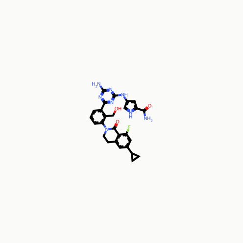 NC(=O)c1cc(Nc2nc(N)nc(-c3cccc(N4CCc5cc(C6CC6)cc(F)c5C4=O)c3CO)n2)c[nH]1